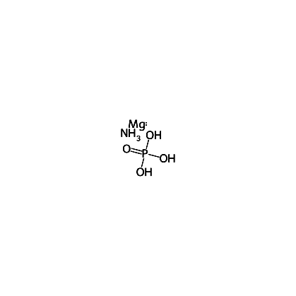 N.O=P(O)(O)O.[Mg]